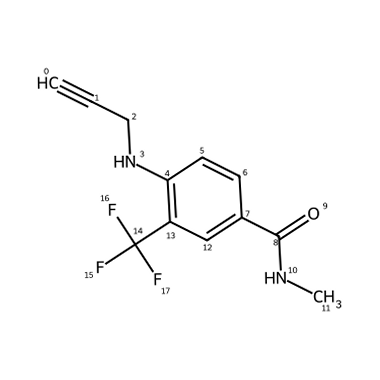 C#CCNc1ccc(C(=O)NC)cc1C(F)(F)F